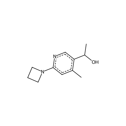 Cc1cc(N2CCC2)ncc1C(C)O